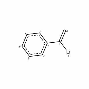 [Li][C](=C)c1ccccc1